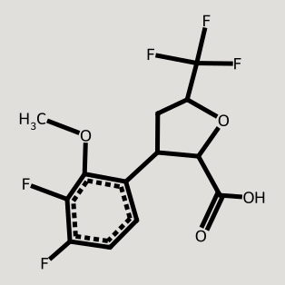 COc1c(C2CC(C(F)(F)F)OC2C(=O)O)ccc(F)c1F